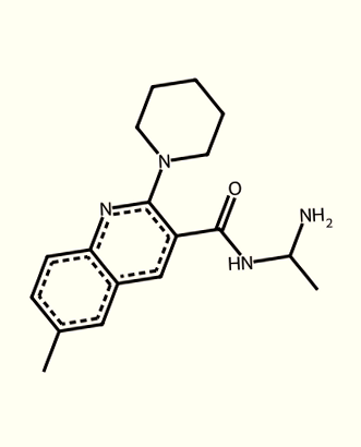 Cc1ccc2nc(N3CCCCC3)c(C(=O)NC(C)N)cc2c1